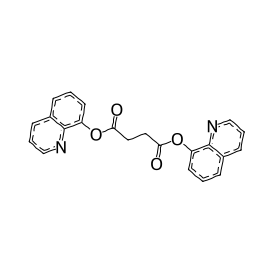 O=C(CCC(=O)Oc1cccc2cccnc12)Oc1cccc2cccnc12